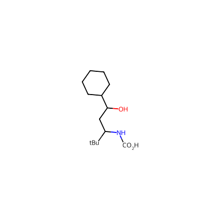 CC(C)(C)C(CC(O)C1CCCCC1)NC(=O)O